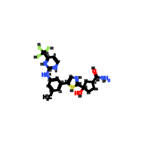 Cc1cc(Nc2nccc(C(F)(F)F)n2)cc(-c2cnc(C3(O)CC[C@H](C(N)=O)C3)s2)c1